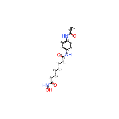 CC(C)C(=O)Nc1ccc(NC(=O)CCCCCCC(=O)NO)cc1